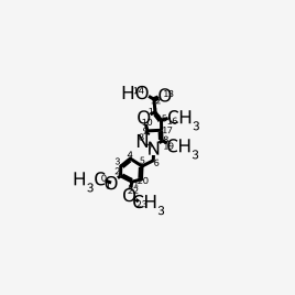 COc1ccc(Cn2nc3oc(C(=O)O)c(C)c3c2C)cc1OC